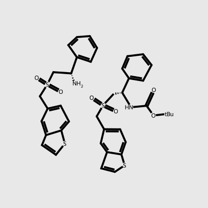 CC(C)(C)OC(=O)N[C@H](CS(=O)(=O)Cc1ccc2sccc2c1)c1ccccc1.N[C@H](CS(=O)(=O)Cc1ccc2sccc2c1)c1ccccc1